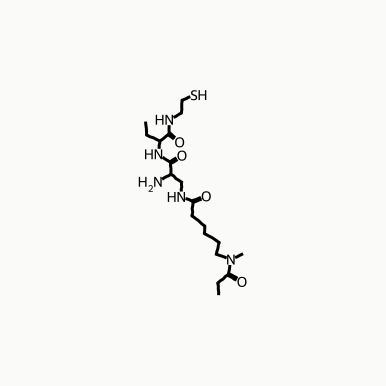 CCC(=O)N(C)CCCCCC(=O)NCC(N)C(=O)NC(CC)C(=O)NCCS